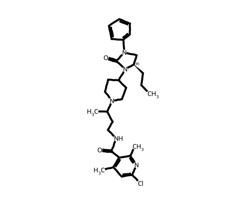 CCC[C@@H]1CN(c2ccccc2)C(=O)N1C1CCN(C(C)CCNC(=O)c2c(C)cc(Cl)nc2C)CC1